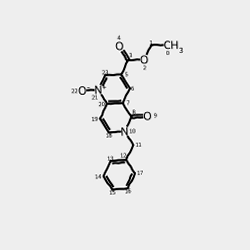 CCOC(=O)c1cc2c(=O)n(Cc3ccccc3)ccc2[n+]([O-])c1